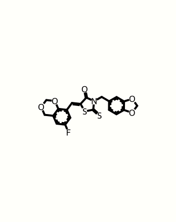 O=C1C(=Cc2cc(F)cc3c2OCOC3)SC(=S)N1Cc1ccc2c(c1)OCO2